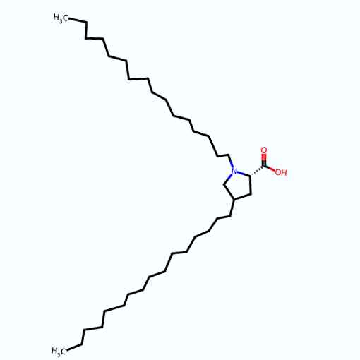 CCCCCCCCCCCCCCCCC1C[C@@H](C(=O)O)N(CCCCCCCCCCCCCCCC)C1